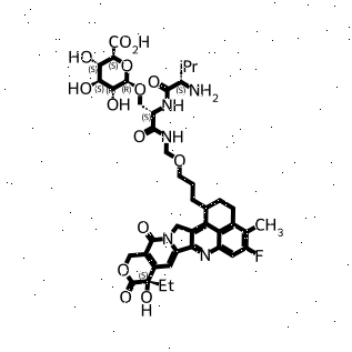 CC[C@@]1(O)C(=O)OCc2c1cc1n(c2=O)Cc2c-1nc1cc(F)c(C)c3c1c2C(CCCOCNC(=O)[C@H](CO[C@@H]1O[C@H](C(=O)O)[C@@H](O)[C@H](O)[C@H]1O)NC(=O)[C@@H](N)C(C)C)CC3